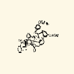 CC[C@@H](NC(=O)N1C(=O)[C@H](Cc2ccnc(NC(Cc3ccc(OC)cc3)c3ccc(OC)cc3)c2)[C@H]1C(=O)N(C)c1ccncc1)C1CCCCC1